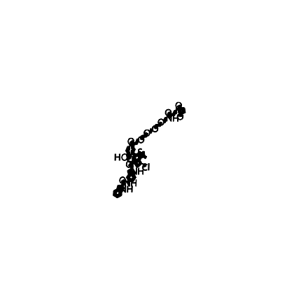 Cc1csc2c(C3CN(C(=O)CCOCCOCCOCCOCCNC(=O)CCN4C(=O)C=CC4=O)CCN3C(=O)O)cc3c(c12)[C@H](CCl)CN3C(=O)c1cc2cc(NC(=O)c3cc4ccccc4[nH]3)ccc2[nH]1